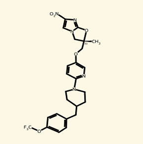 C[C@@]1(COc2ccc(N3CCC(Cc4ccc(OC(F)(F)F)cc4)CC3)nc2)Cn2cc([N+](=O)[O-])nc2O1